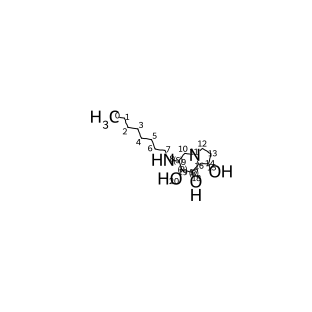 CCCCCCCCN[C@H]1CN2CCC(O)C2[C@@H](O)[C@@H]1O